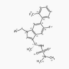 CC(C)Cn1cc([C@@H](C)NS(=O)(=O)N(C)C)c2cc(F)c(-c3ccccc3C(F)(F)F)cc21